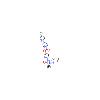 CC(C)C1NC(S(=O)(=O)O)N(c2ccc(OC(=O)N3CCN(c4ccc(Cl)cn4)CC3)cn2)C1=O